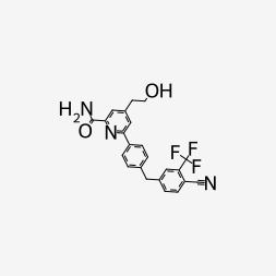 N#Cc1ccc(Cc2ccc(-c3cc(CCO)cc(C(N)=O)n3)cc2)cc1C(F)(F)F